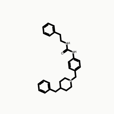 O=C(NCCc1ccccc1)Nc1ccc(CN2CCC(Cc3ccccc3)CC2)cc1